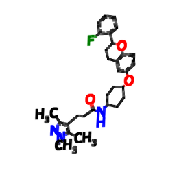 Cc1nn(C)c(C)c1CCC(=O)NC1CCC(Oc2ccc3c(c2)CCC(c2ccccc2F)O3)CC1